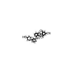 N#Cc1cc(Cl)c(-c2nc3ccnc(Nc4cc(N5CCC(O)CC5)ncn4)c3[nH]2)c(Cl)c1